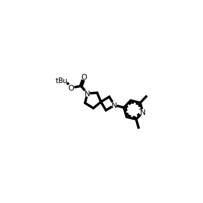 Cc1cc(N2CC3(CCN(C(=O)OC(C)(C)C)C3)C2)cc(C)n1